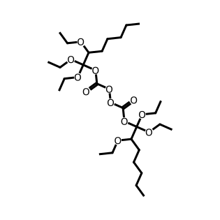 CCCCCC(OCC)C(OCC)(OCC)OC(=O)OOC(=O)OC(OCC)(OCC)C(CCCCC)OCC